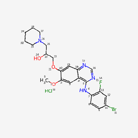 COc1cc2c(Nc3ccc(Br)cc3F)ncnc2cc1OCC(O)CN1CCCCC1.Cl